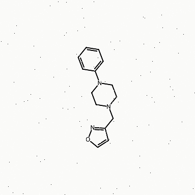 c1ccc(N2CCN(Cc3ccon3)CC2)cc1